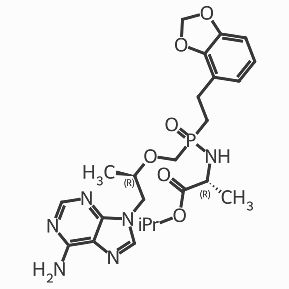 CC(C)OC(=O)[C@@H](C)NP(=O)(CCc1cccc2c1OCO2)CO[C@H](C)Cn1cnc2c(N)ncnc21